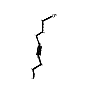 CCCC#CCC[CH]Cl